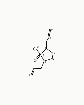 C=CCC1CCC(CC=C)P1(=O)Cl